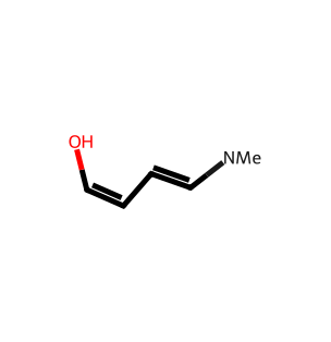 CN/C=C/C=C\O